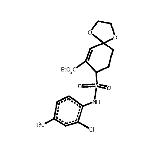 CCOC(=O)C1=CC2(CCC1S(=O)(=O)Nc1ccc(C(C)(C)C)cc1Cl)OCCO2